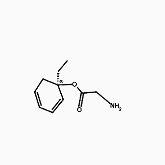 CC[C@]1(OC(=O)CN)C=CC=CC1